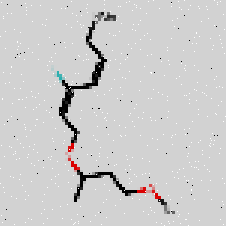 CCOCCC(C)OC/C=C(F)\C=C/CNC